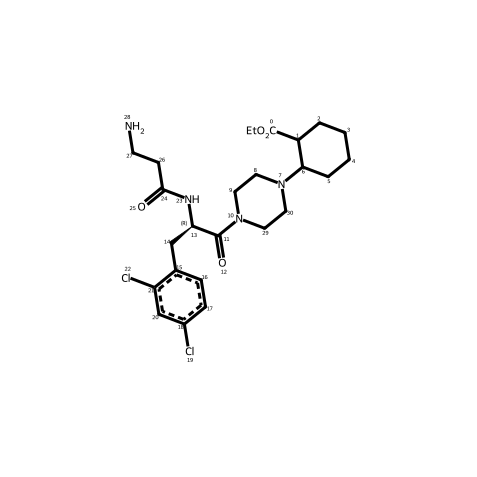 CCOC(=O)C1CCCCC1N1CCN(C(=O)[C@@H](Cc2ccc(Cl)cc2Cl)NC(=O)CCN)CC1